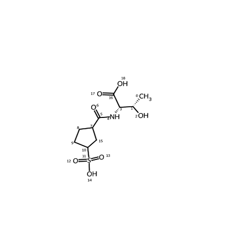 C[C@H](O)[C@H](NC(=O)C1CCC(S(=O)(=O)O)C1)C(=O)O